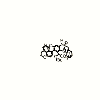 Cc1cc(NS(=O)(=O)CC2CCCCC2)c(C)c(C(OC(C)(C)C)C(=O)O)c1-c1ccc2c3c(ccnc13)CCO2